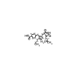 CCCCc1ncc(C=C2C(=O)NC(=O)N2CCC(C)C)n1Cc1ccc(C(=O)O)cc1